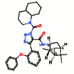 C[C@@H]1[C@@H](NC(=O)c2c(-c3ccccc3Oc3ccccc3)nnn2C(=O)N2CCCC3CCCCC32)C[C@@H]2C[C@H]1C2(C)C